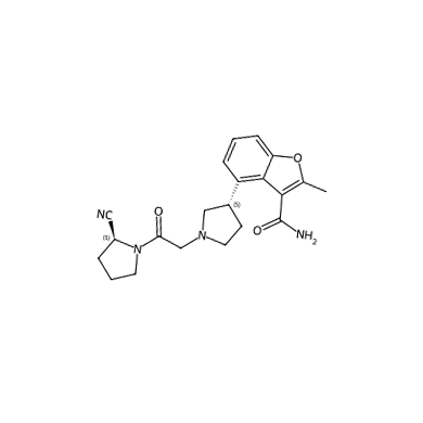 Cc1oc2cccc([C@@H]3CCN(CC(=O)N4CCC[C@H]4C#N)C3)c2c1C(N)=O